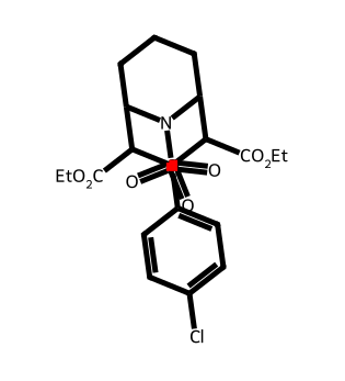 CCOC(=O)C1C(=O)C(C(=O)OCC)C2CCCC1N2S(=O)(=O)c1ccc(Cl)cc1